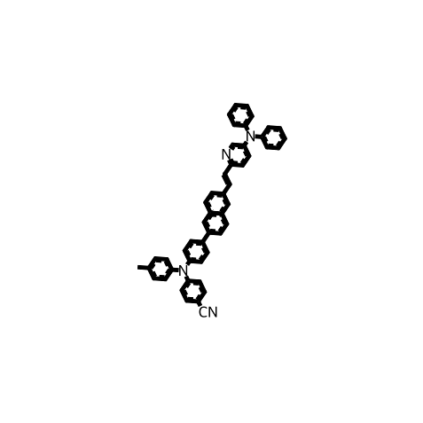 Cc1ccc(N(c2ccc(C#N)cc2)c2ccc(-c3ccc4cc(/C=C/c5ccc(N(c6ccccc6)c6ccccc6)cn5)ccc4c3)cc2)cc1